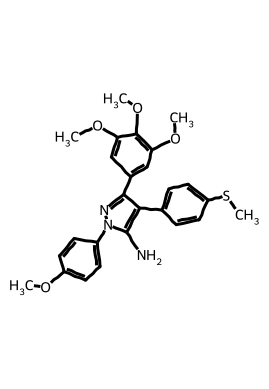 COc1ccc(-n2nc(-c3cc(OC)c(OC)c(OC)c3)c(-c3ccc(SC)cc3)c2N)cc1